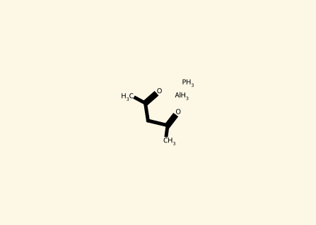 CC(=O)CC(C)=O.P.[AlH3]